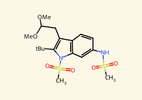 COC(Cc1c(C(C)(C)C)n(S(C)(=O)=O)c2cc(NS(C)(=O)=O)ccc12)OC